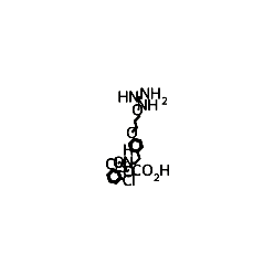 N=C(N)NOCCCOc1ccc(C[C@H](NS(=O)(=O)c2c(Cl)cccc2Cl)C(=O)O)cc1